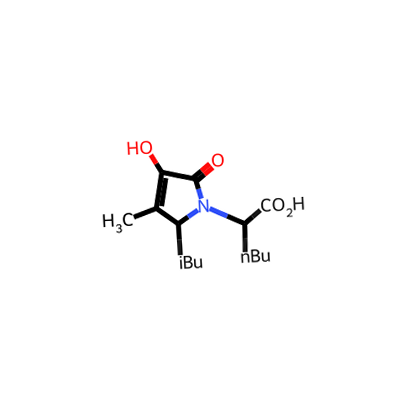 CCCCC(C(=O)O)N1C(=O)C(O)=C(C)C1C(C)CC